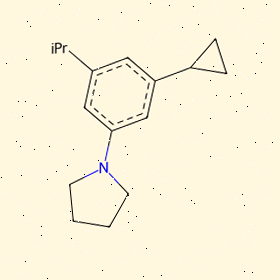 CC(C)c1cc(C2CC2)cc(N2CCCC2)c1